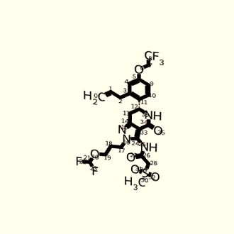 C=CCc1cc(OCC(F)(F)F)ccc1[C@H]1Cc2nn(CCCOC(F)F)c(NC(=O)CS(C)(=O)=O)c2C(=O)N1